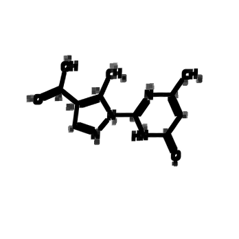 Cc1cc(=O)[nH]c(-n2ncc(C(=O)O)c2C)n1